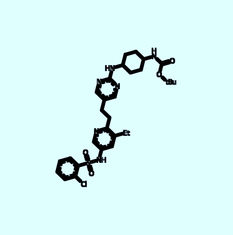 CCc1cc(NS(=O)(=O)c2ccccc2Cl)cnc1CCc1cnc(NC2CCC(NC(=O)OC(C)(C)C)CC2)nc1